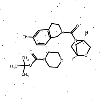 CC(C)(C)OC(=O)N1CCOC[C@H]1c1cc(Cl)cc2c1CN(C(=O)N1C[C@H]3C[C@@H]1CO3)CC2